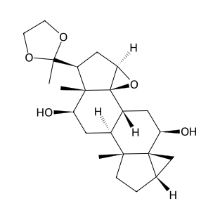 CC1([C@H]2C[C@H]3O[C@]34[C@@H]3C[C@@H](O)[C@]56C[C@@H]5CC[C@]6(C)[C@H]3C[C@@H](O)[C@]24C)OCCO1